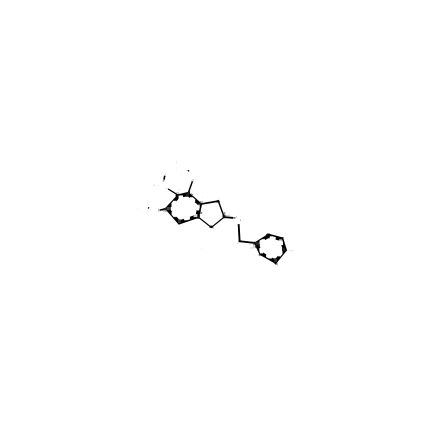 COc1cc2c(c(OC)c1OC)CC(NCc1ccccc1)C2.Cl